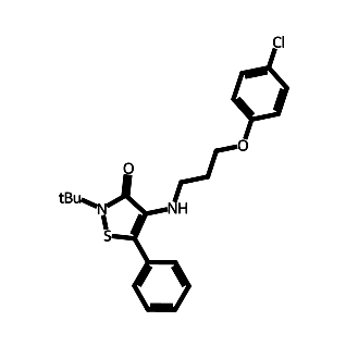 CC(C)(C)n1sc(-c2ccccc2)c(NCCCOc2ccc(Cl)cc2)c1=O